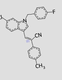 Cc1ccc(/C(C#N)=C/c2cn(Cc3ccc(F)cc3)c3cc(Cl)ccc23)cc1